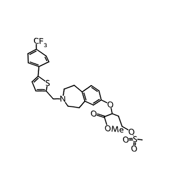 COC(=O)C(CCOS(C)(=O)=O)Oc1ccc2c(c1)CCN(Cc1ccc(-c3ccc(C(F)(F)F)cc3)s1)CC2